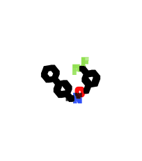 FC(F)c1cccc(CO/N=[C]\c2ccc(C3CCCCC3)cc2)c1